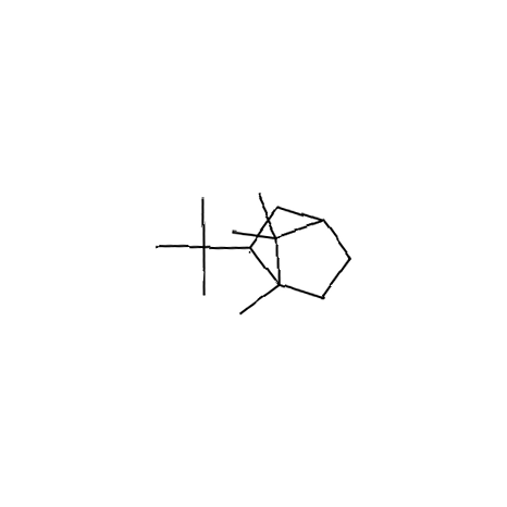 CC(C)(C)[C]1CC2CCC1(C)C2(C)C